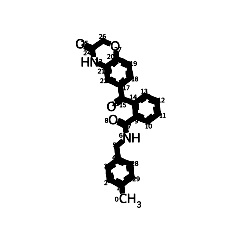 Cc1ccc(CNC(=O)c2ccccc2C(=O)c2ccc3c(c2)NC(=O)CO3)cc1